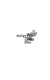 COc1ccc(C(c2ccccc2)(c2ccc(OC)cc2)C(O)[C@@]2(C[N+](=O)[O-])O[C@@H](n3cc(C)c(=O)[nH]c3=O)C[C@@]2(O)[Si](C)(C)C(C)(C)C)cc1